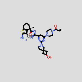 C=CC(=O)N1CCN(c2cc(-c3noc([C@@]4(C)CCCc5sc(N)c(C#N)c54)n3)nc(N3CCC4(CC(O)C4)C3)n2)CC1